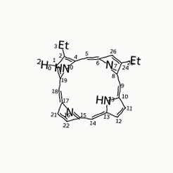 [2H]c1c(CC)c2cc3nc(cc4ccc(cc5nc(cc1[nH]2)C=C5)[nH]4)C(CC)=C3